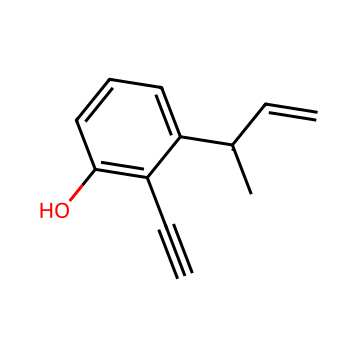 C#Cc1c(O)cccc1[C](C)C=C